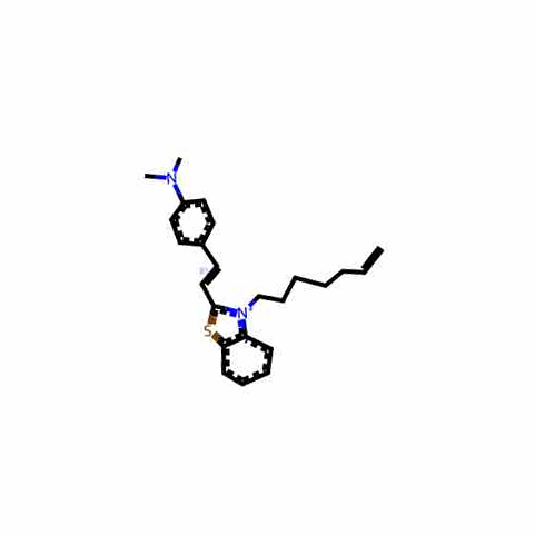 C=CCCCCC[n+]1c(/C=C/c2ccc(N(C)C)cc2)sc2ccccc21